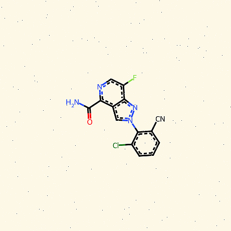 N#Cc1cccc(Cl)c1-n1cc2c(C(N)=O)ncc(F)c2n1